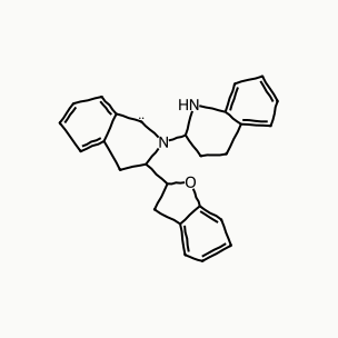 [C]1c2ccccc2CC(C2Cc3ccccc3O2)N1C1CCc2ccccc2N1